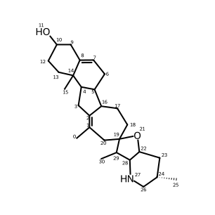 CC1=C2CC3C(CC=C4CC(O)CCC43C)C2CCC2(C1)OC1C[C@H](C)CNC1C2C